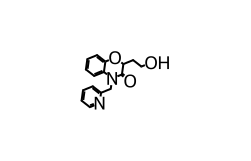 O=C1C(CCO)Oc2ccccc2N1Cc1ccccn1